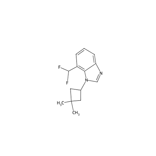 CC1(C)CC(n2cnc3cccc(C(F)F)c32)C1